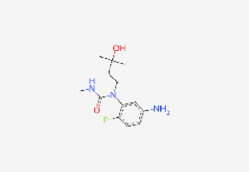 CNC(=O)N(CCC(C)(C)O)c1cc(N)ccc1F